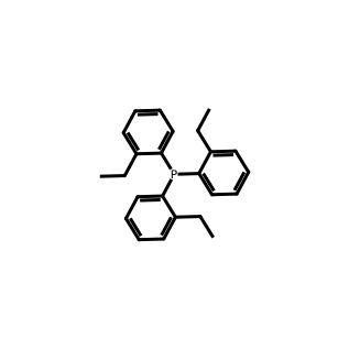 CCc1ccccc1P(c1ccccc1CC)c1ccccc1CC